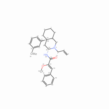 C=CCN1CC2CCCC[C@@]2(c2cccc(OC)c2)C[C@H]1NC(=O)C(=Cc1ccccc1)OC(F)(F)F